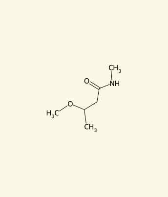 CNC(=O)CC(C)OC